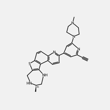 C#Cc1cc(-c2ccc3c(ccc4sc5c(c43)NC[C@@H](C)NC5)n2)cc(N2CCN(C)CC2)n1